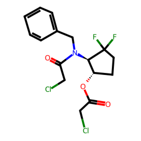 O=C(CCl)O[C@H]1CCC(F)(F)[C@@H]1N(Cc1ccccc1)C(=O)CCl